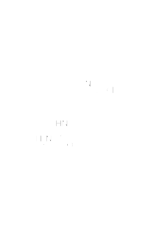 NC(=O)NCc1ccnc(Cl)c1